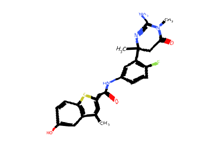 Cc1c(C(=O)Nc2ccc(F)c(C3(C)CC(=O)N(C)C(N)=N3)c2)sc2ccc(O)cc12